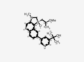 CO[C@@H](C)C[N+]1([O-])CN(C)c2cnc3ccc(-c4cncc(C(C)(C)O)c4)cc3c21